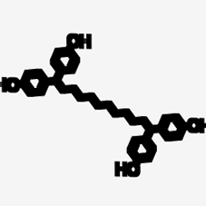 Oc1ccc(C(CCCCCCCCCCC(c2ccc(O)cc2)c2ccc(O)cc2)c2ccc(O)cc2)cc1